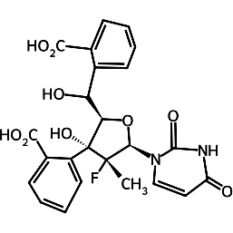 C[C@]1(F)[C@H](n2ccc(=O)[nH]c2=O)O[C@H](C(O)c2ccccc2C(=O)O)[C@]1(O)c1ccccc1C(=O)O